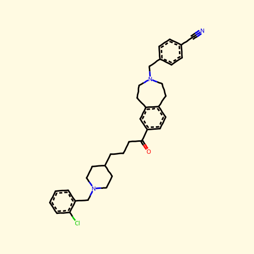 N#Cc1ccc(CN2CCc3ccc(C(=O)CCCC4CCN(Cc5ccccc5Cl)CC4)cc3CC2)cc1